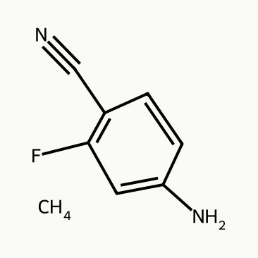 C.N#Cc1ccc(N)cc1F